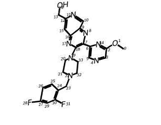 COc1cncc(-c2nc3cnc(CO)cc3nc2N2CCN(Cc3ccc(F)cc3F)CC2)n1